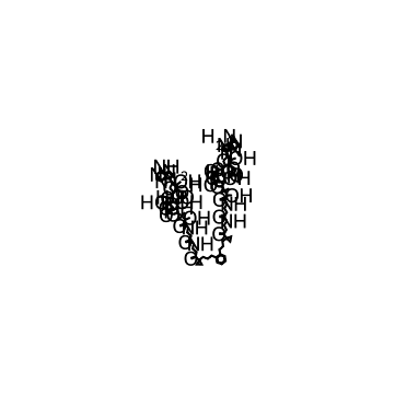 CC(C)(COP(=O)(O)OP(=O)(O)OCC1OC(n2cnc3c(N)ncnc32)C(O)C1OP(=O)(O)O)C(O)C(=O)NCCC(=O)NCCC(=O)C1(CCCc2ccccc2CCCC2(C(=O)CCNC(=O)CCNC(=O)C(O)C(C)(C)COP(=O)(O)OP(=O)(O)OCC3OC(n4cnc5c(N)ncnc54)C(O)C3OP(=O)(O)O)CC2)CC1